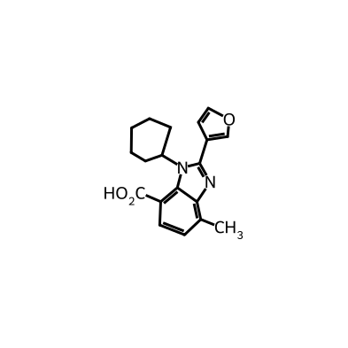 Cc1ccc(C(=O)O)c2c1nc(-c1ccoc1)n2C1CCCCC1